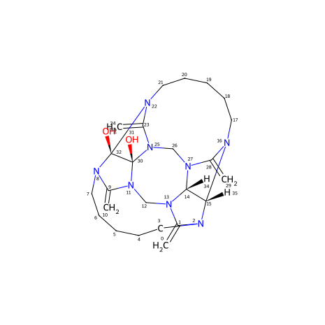 C=C1N2CCCCCN3C(=C)N4CN1[C@H]1[C@@H]2N2CCCCCN5C(=C)N(CN1C2=C)[C@@]4(O)[C@@]53O